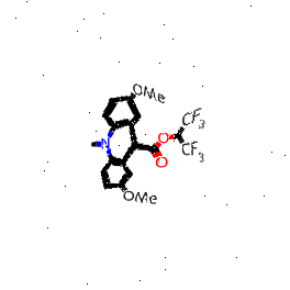 COc1ccc2c(c1)C(C(=O)OC(C(F)(F)F)C(F)(F)F)c1cc(OC)ccc1N2C